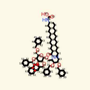 CCCCCCCCCCCCCCC(OCc1ccccc1)C(OCc1ccccc1)C(CO[C@H]1O[C@H](COCc2ccccc2)[C@H](OCc2ccccc2)[C@H](OCc2ccccc2)[C@H]1OCc1ccccc1)NC(=O)CCCCCCCCCCCNC(=O)O